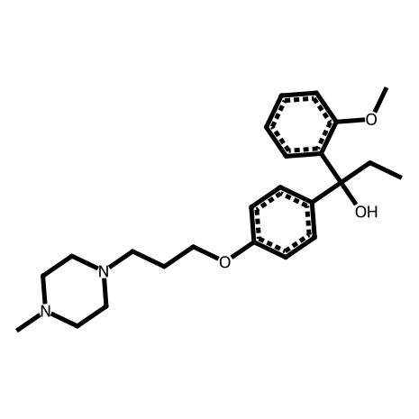 CCC(O)(c1ccc(OCCCN2CCN(C)CC2)cc1)c1ccccc1OC